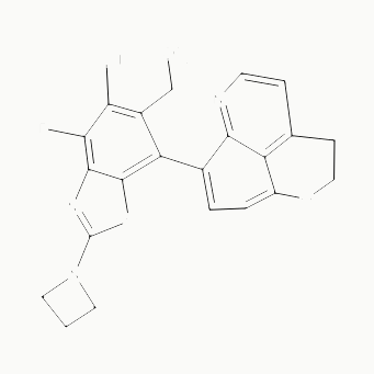 Cc1c(CC(=O)O)c(-c2ccc3c4c(ccnc24)CCO3)c2sc(N3CCC3)nc2c1F